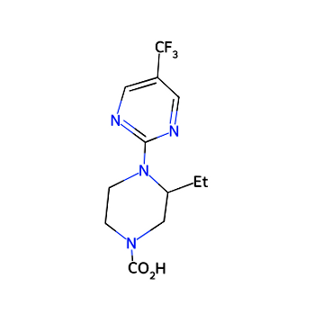 CCC1CN(C(=O)O)CCN1c1ncc(C(F)(F)F)cn1